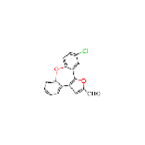 O=Cc1cc2c(o1)-c1cc(Cl)ccc1Oc1ccccc1-2